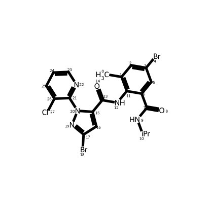 Cc1cc(Br)cc(C(=O)NC(C)C)c1NC(=O)c1cc(Br)nn1-c1ncccc1Cl